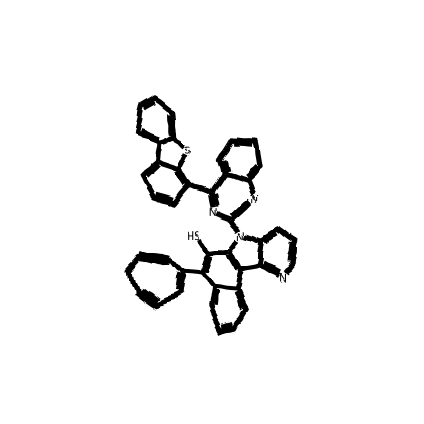 Sc1c(C2=CC=CCC#C2)c2ccccc2c2c3ncccc3n(-c3nc(-c4cccc5c4sc4ccccc45)c4ccccc4n3)c12